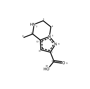 CC1NCCn2nc(C(=O)O)cc21